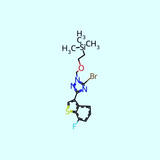 C[Si](C)(C)CCOCn1nc(-c2csc3c(F)cccc23)nc1Br